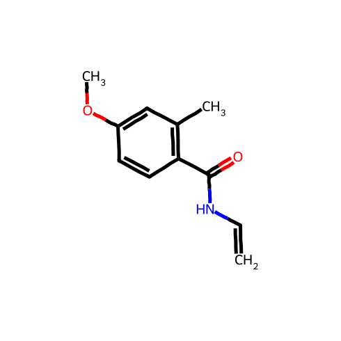 C=CNC(=O)c1ccc(OC)cc1C